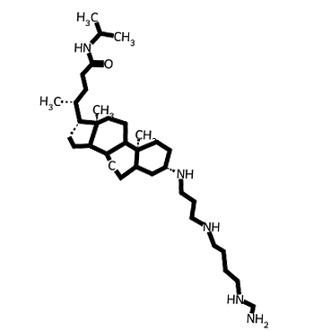 CC(C)NC(=O)CC[C@@H](C)[C@H]1CCC2C3CCC4C[C@@H](NCCCNCCCCNCN)CC[C@]4(C)C3CC[C@@]21C